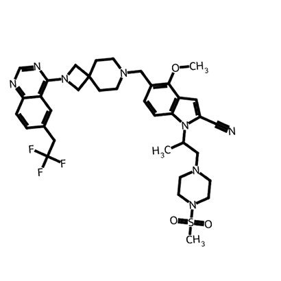 COc1c(CN2CCC3(CC2)CN(c2ncnc4ccc(CC(F)(F)F)cc24)C3)ccc2c1cc(C#N)n2C(C)CN1CCN(S(C)(=O)=O)CC1